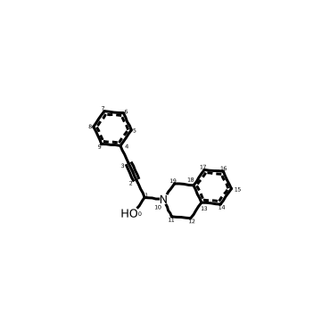 OC(C#Cc1ccccc1)N1CCc2ccccc2C1